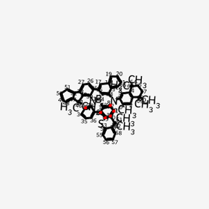 Cc1cc2c(cc1N1c3cc4c(cc3B3c5c(cc6ccccc6c51)-c1ccc5c(c1N3c1ccccc1-c1ccccc1)C(C)(C)c1ccccc1-5)Sc1ccccc1C4(C)C)C(C)(C)CCC2(C)C